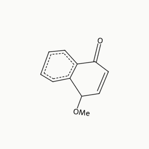 COC1C=CC(=O)c2ccccc21